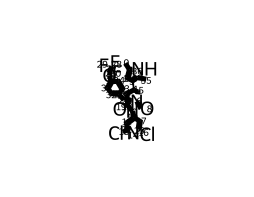 Cc1cc([C@H]2CN3C(=O)N(c4cc(Cl)nc(Cl)c4)C(=O)[C@]3(Cc3ccc(OC(F)(F)F)cc3)C2)c(C)[nH]1